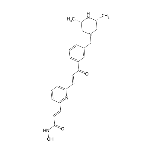 C[C@@H]1CN(Cc2cccc(C(=O)C=Cc3cccc(C=CC(=O)NO)n3)c2)C[C@H](C)N1